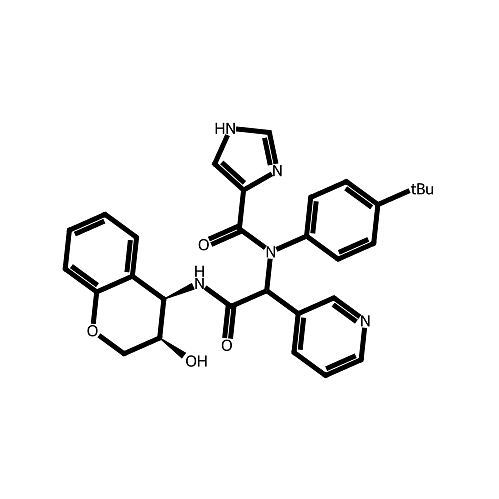 CC(C)(C)c1ccc(N(C(=O)c2c[nH]cn2)C(C(=O)N[C@@H]2c3ccccc3OC[C@@H]2O)c2cccnc2)cc1